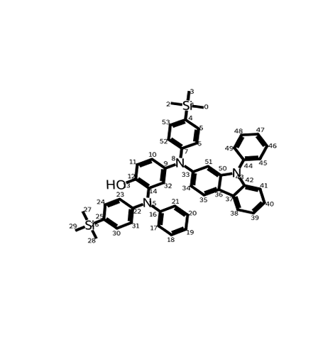 C[Si](C)(C)c1ccc(N(c2ccc(O)c(N(c3ccccc3)c3ccc([Si](C)(C)C)cc3)c2)c2ccc3c4ccccc4n(-c4ccccc4)c3c2)cc1